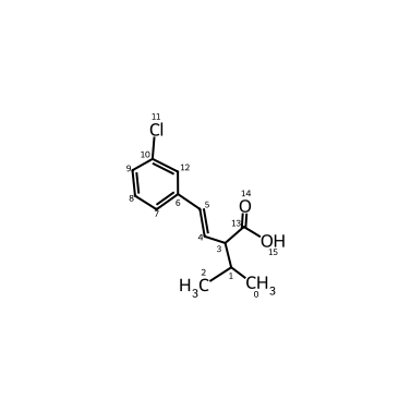 CC(C)C(C=Cc1cccc(Cl)c1)C(=O)O